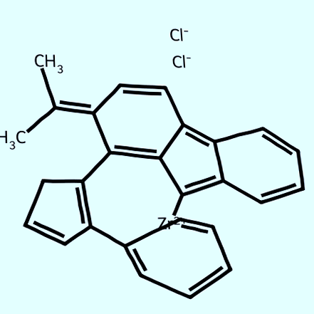 CC(C)=c1ccc2c(c1C1=C(c3ccccc3)C=CC1)[C]([Zr+2])=c1ccccc1=2.[Cl-].[Cl-]